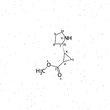 COC(=O)C1CC1[C@@H]1CCCN1